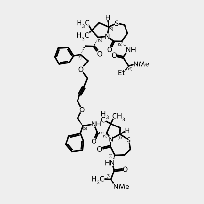 CC[C@H](NC)C(=O)N[C@H]1CCS[C@H]2CC(C)(C)[C@@H](C(=O)C[C@H](COCC#CCOC[C@@H](NC(=O)[C@H]3N4C(=O)[C@@H](NC(=O)[C@H](C)NC)CCS[C@H]4CC3(C)C)c3ccccc3)c3ccccc3)N2C1=O